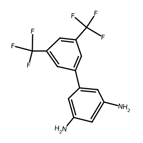 Nc1cc(N)cc(-c2cc(C(F)(F)F)cc(C(F)(F)F)c2)c1